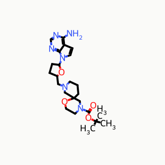 CC(C)(C)OC(=O)N1CCOC2(CCCN(CC3CCC(n4ccc5c(N)ncnc54)O3)C2)C1